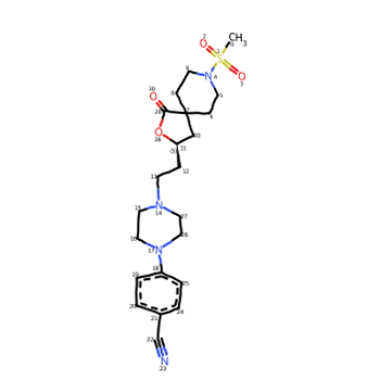 CS(=O)(=O)N1CCC2(CC1)C[C@@H](CCN1CCN(c3ccc(C#N)cc3)CC1)OC2=O